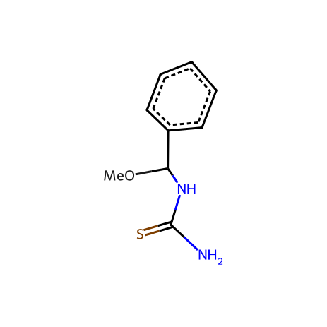 COC(NC(N)=S)c1ccccc1